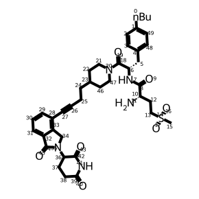 CCCCc1ccc(C[C@H](NC(=O)[C@@H](N)CCS(C)(=O)=O)C(=O)N2CCC(CCC#Cc3cccc4c3CN(C3CCC(=O)NC3=O)C4=O)CC2)cc1